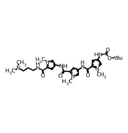 CN(C)CCCNC(=O)c1cc(NC(=O)c2cc(NC(=O)c3cc(NC(=O)OC(C)(C)C)cn3C)cn2C)cn1C